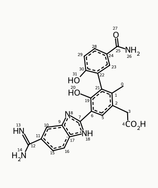 Cc1c(CC(=O)O)cc(-c2nc3cc(C(=N)N)ccc3[nH]2)c(O)c1-c1cc(C(N)=O)ccc1O